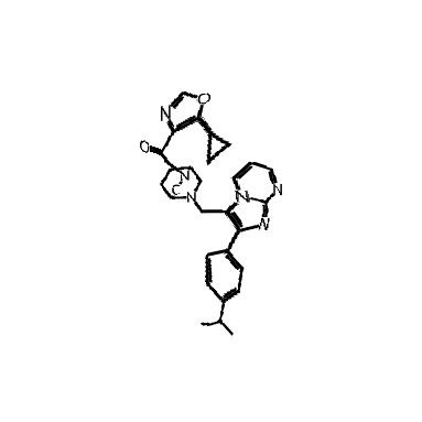 CC(C)c1ccc(-c2nc3ncccn3c2CN2CC3CCC2CN3C(=O)c2ncoc2C2CC2)cc1